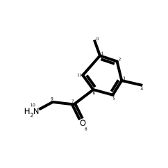 Cc1cc(C)cc(C(=O)CN)c1